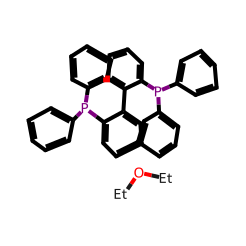 CCOCC.c1ccc(P(c2ccccc2)c2ccccc2-c2ccccc2P(c2ccccc2)c2ccccc2)cc1